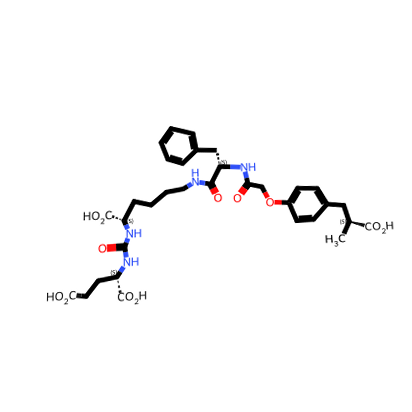 C[C@@H](Cc1ccc(OCC(=O)N[C@@H](Cc2ccccc2)C(=O)NCCCC[C@H](NC(=O)N[C@@H](CCC(=O)O)C(=O)O)C(=O)O)cc1)C(=O)O